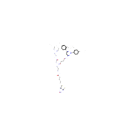 COc1ccc(-c2cc(NC(=O)CCC(=O)N(CCCNC(=O)CCCC[C@@H]3SC[C@@H]4NC(=O)N[C@@H]43)CC(=O)NCCN(CCC#N)CCC#N)nc(-c3ccc(OC)cc3OC)n2)c(OC)c1